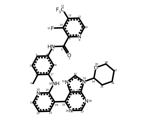 Cc1ccc(NC(=O)c2nccc(C(F)(F)F)c2F)cc1Nc1ncccc1-c1ncnc2c1ncn2C1CCCCO1